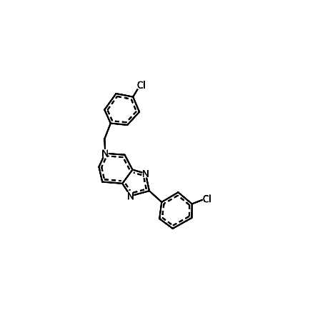 Clc1ccc(Cn2ccc3nc(-c4cccc(Cl)c4)nc-3c2)cc1